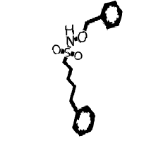 O=S(=O)(CCCCCc1ccccc1)NOCc1ccccc1